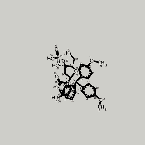 COc1ccc(C(c2ccccc2)(c2ccc(OC)cc2)[C@]2(n3ccc(N)nc3=O)C[C@@](O)(O[PH](=O)O)[C@@H](CO)O2)cc1